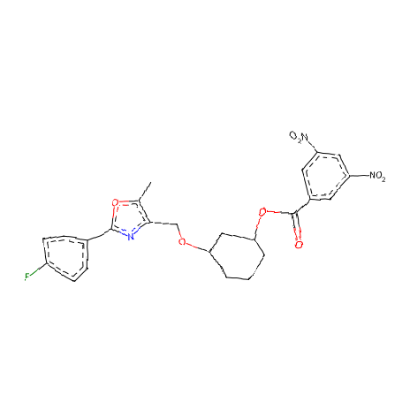 Cc1oc(-c2ccc(F)cc2)nc1COC1CCCC(OC(=O)c2cc([N+](=O)[O-])cc([N+](=O)[O-])c2)C1